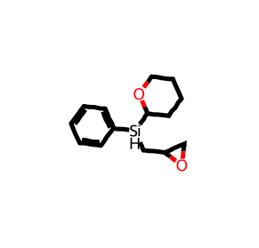 c1ccc([SiH](CC2CO2)C2CCCCO2)cc1